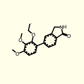 [CH2]COc1c(-c2ccc3c(c2)CNC3=O)ccc(OC)c1OC